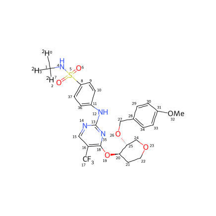 [2H]C([2H])([2H])NS(=O)(=O)c1ccc(Nc2ncc(C(F)(F)F)c(O[C@@H]3CCOC[C@H]3OCc3ccc(OC)cc3)n2)cc1